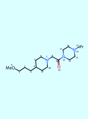 COCCCC1CCN(CC(=O)N2CCN(C(C)C)CC2)CC1